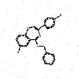 Fc1ccc2c(c1)C(OCc1ccccc1)=NC(c1ccc(Br)cc1)=CO2